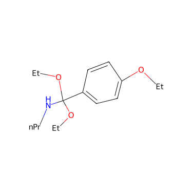 CCCNC(OCC)(OCC)c1ccc(OCC)cc1